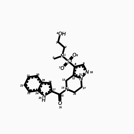 CN(CCO)S(=O)(=O)c1cnn2c1CN(C(=O)c1cc3ccccc3[nH]1)CC2